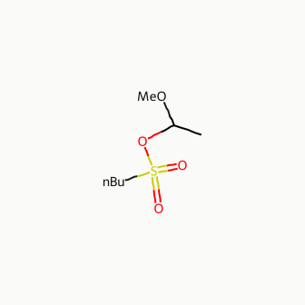 CCCCS(=O)(=O)OC(C)OC